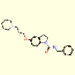 O=C(NCc1ccccc1)N1CCc2cc(OCCCN3CCCCC3)ccc21